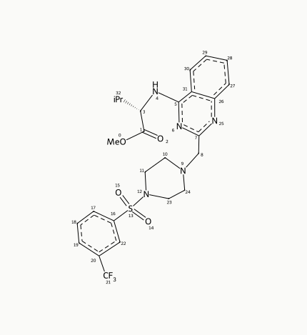 COC(=O)[C@@H](Nc1nc(CN2CCN(S(=O)(=O)c3cccc(C(F)(F)F)c3)CC2)nc2ccccc12)C(C)C